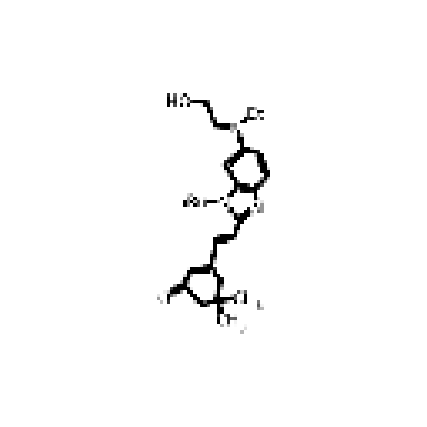 CCCCn1c(C=CC2=CC(=O)CC(C)(C)C2)nc2ccc(N(CC)CCO)cc21